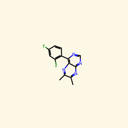 Cc1nc2ncnc(-c3ccc(F)cc3F)c2nc1C